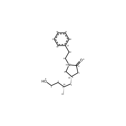 C[C@H](CCO)C[C@H]1CC(=O)N(CCc2ccccc2)C1